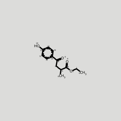 CCOC(=O)C(C)CC(=O)c1ccc(O)cc1